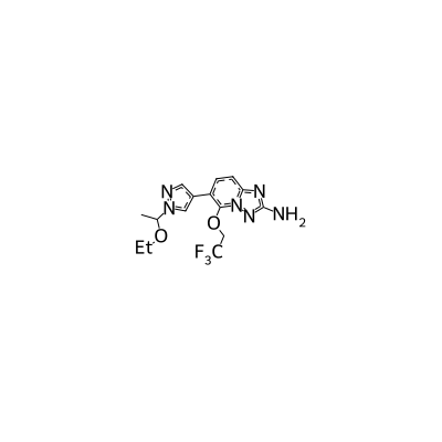 CCOC(C)n1cc(-c2ccc3nc(N)nn3c2OCC(F)(F)F)cn1